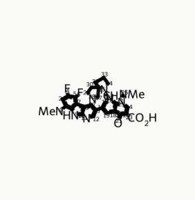 CNc1cc(F)c(F)c2c1[nH]c1ncc(-c3cnc4c(c3)c(=O)c(C(=O)O)cn4NC)c(N3CCC4(CCCN4C)C3)c12